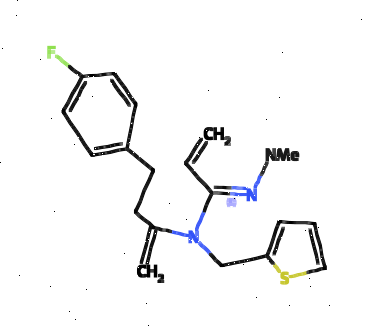 C=C/C(=N\NC)N(Cc1cccs1)C(=C)CCc1ccc(F)cc1